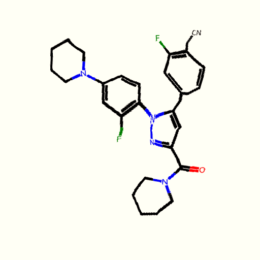 N#Cc1ccc(-c2cc(C(=O)N3CCCCC3)nn2-c2ccc(N3CCCCC3)cc2F)cc1F